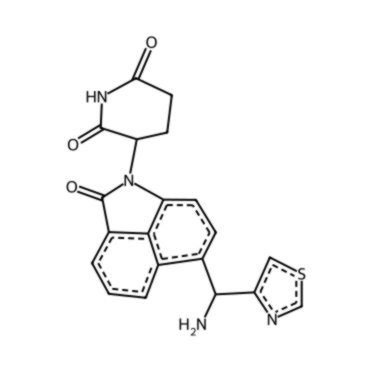 NC(c1cscn1)c1ccc2c3c(cccc13)C(=O)N2C1CCC(=O)NC1=O